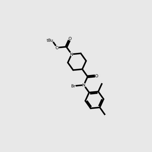 Cc1ccc(N(Br)C(=O)C2CCN(C(=O)OC(C)(C)C)CC2)c(C)c1